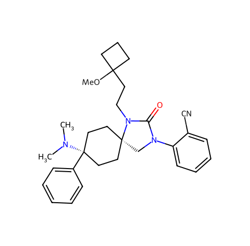 COC1(CCN2C(=O)N(c3ccccc3C#N)C[C@]23CC[C@@](c2ccccc2)(N(C)C)CC3)CCC1